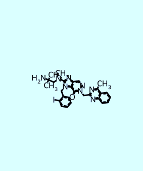 Cc1nc(Cn2ncc3nc(N(C)CC(C)(C)N)n(Cc4ccccc4I)c3c2=O)nc2ccccc12